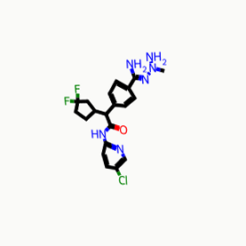 CN(N)/N=C(\N)c1ccc(C(C(=O)Nc2ccc(Cl)cn2)C2CCC(F)(F)C2)cc1